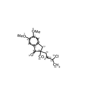 COc1cc2c(cc1OC)C(=O)C(CCC(C)Cl)(C(=O)O)C2